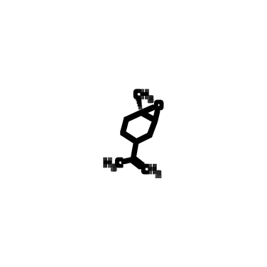 C=C(C)C1CC[C@@]2(C)OC2C1